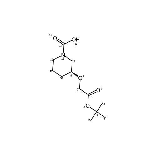 CC(C)(C)OC(=O)CO[C@H]1CCCN(C(=O)O)C1